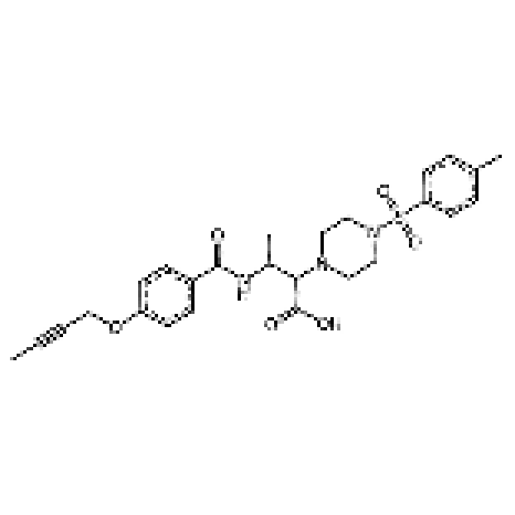 CC#CCOc1ccc(C(=O)NC(C)C(C(=O)O)N2CCN(S(=O)(=O)c3ccc(C)cc3)CC2)cc1